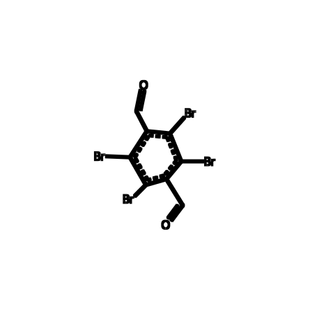 O=Cc1c(Br)c(Br)c(C=O)c(Br)c1Br